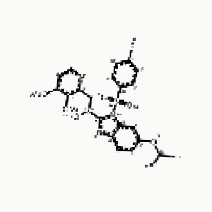 COc1ccnc(C[S+]([O-])c2nc3ccc(OC(F)F)cc3n2S(=O)(=O)c2ccc(F)cc2)c1OC